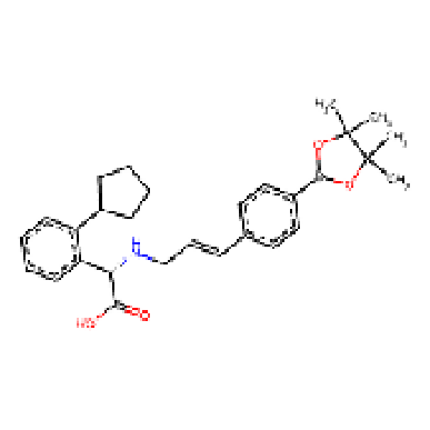 CC1(C)OB(c2ccc(C=CCN[C@H](C(=O)O)c3ccccc3C3CCCC3)cc2)OC1(C)C